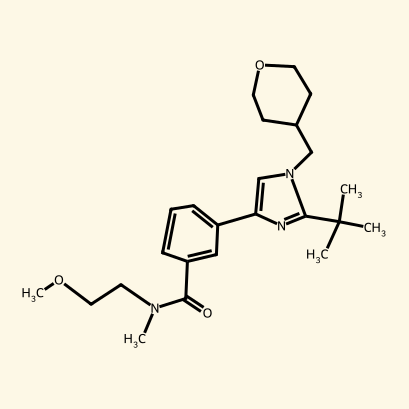 COCCN(C)C(=O)c1cccc(-c2cn(CC3CCOCC3)c(C(C)(C)C)n2)c1